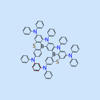 c1ccc(N(c2ccccc2)c2ccc3c(c2)Sc2cc(N(c4ccccc4)c4ccccc4)cc4c2B3c2cc3c(cc2N4c2ccccc2)N(c2ccccc2)c2cc(N(c4ccccc4)c4ccccc4)cc4c2B3c2ccc(N(c3ccccc3)c3ccccc3)cc2S4)cc1